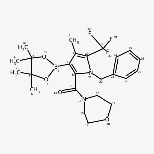 Cc1c(B2OC(C)(C)C(C)(C)O2)c(C(=O)N2CCOCC2)n(Cc2ccccc2)c1C(F)(F)F